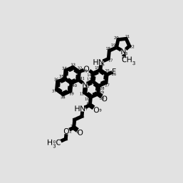 CCOC(=O)CCNC(=O)c1cn2c3c(c(NCCC4CCCN4C)c(F)cc3c1=O)Oc1ccc3ccccc3c1-2